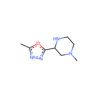 Cc1nnc(C2CN(C)CCN2)o1